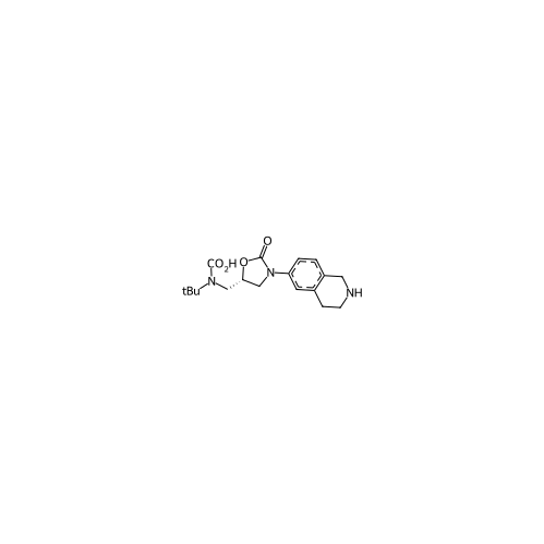 CC(C)(C)N(C[C@H]1CN(c2ccc3c(c2)CCNC3)C(=O)O1)C(=O)O